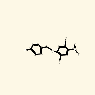 O=[N+]([O-])c1cc(F)c(OCc2ccc(F)cc2)cc1F